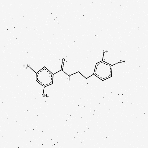 Nc1cc(N)cc(C(=O)NCCc2ccc(O)c(O)c2)c1